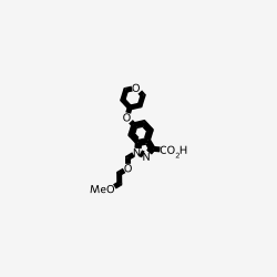 COCCOCn1nc(C(=O)O)c2ccc(OC3CCOCC3)cc21